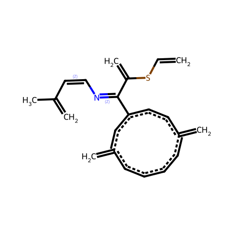 C=CSC(=C)/C(=N\C=C/C(=C)C)c1ccc(=C)ccccc(=C)c1